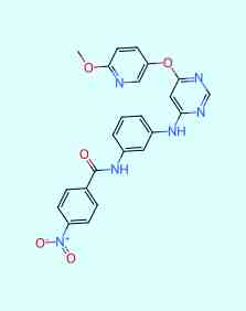 COc1ccc(Oc2cc(Nc3cccc(NC(=O)c4ccc([N+](=O)[O-])cc4)c3)ncn2)cn1